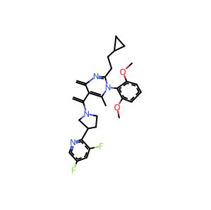 C=C1N=C(CCC2CC2)N(c2c(OC)cccc2OC)C(C)=C1C(=C)N1CCC(c2ncc(F)cc2F)C1